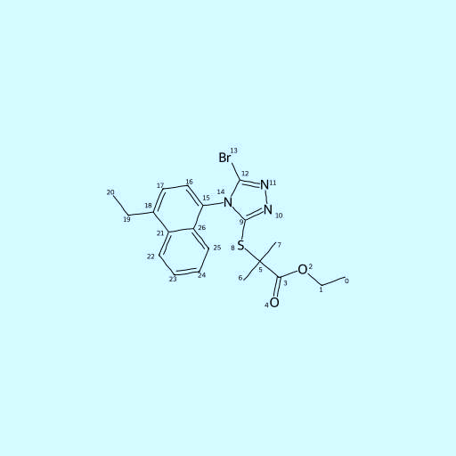 CCOC(=O)C(C)(C)Sc1nnc(Br)n1-c1ccc(CC)c2ccccc12